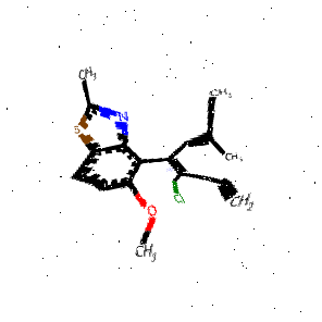 C=C/C(Cl)=C(\C=C(C)C)c1c(OC)ccc2sc(C)nc12